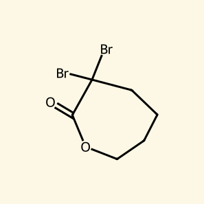 O=C1OCCCCC1(Br)Br